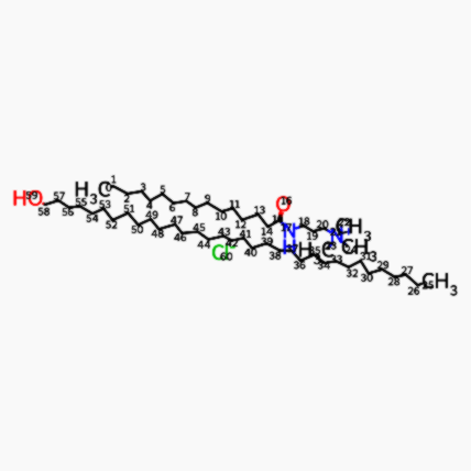 CCCCCCCCCCCCCCCC(=O)NCCC[N+](C)(C)C.CCCCCCCCCCCCCCCCCCCCCCCCCCCCCCCCCCO.[Cl-]